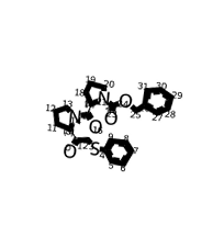 O=C(CSc1ccccc1)[C@@H]1CCCN1C(=O)[C@@H]1CCCN1C(=O)OCc1ccccc1